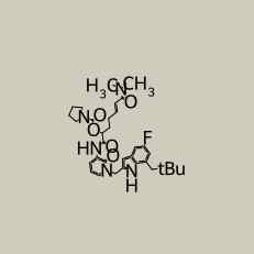 CN(C)C(=O)/C=C/CCC(OC(=O)N1CCCC1)C(=O)Nc1cccn(Cc2cc3cc(F)cc(CC(C)(C)C)c3[nH]2)c1=O